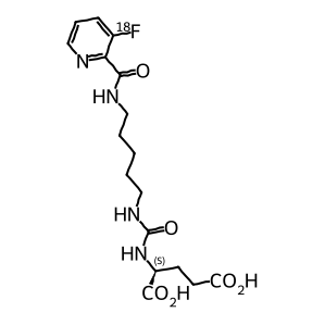 O=C(O)CC[C@H](NC(=O)NCCCCCNC(=O)c1ncccc1[18F])C(=O)O